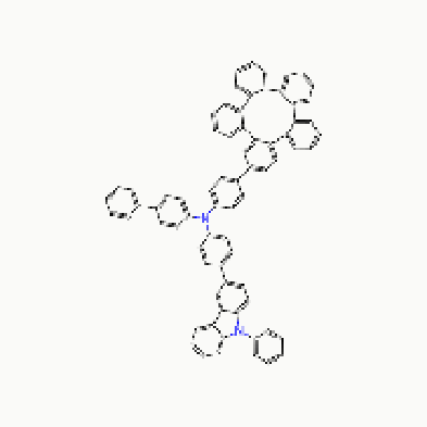 c1ccc(-c2ccc(N(c3ccc(-c4ccc5c6ccccc6c6ccccc6c6ccccc6c6ccccc6c5c4)cc3)c3ccc(-c4ccc5c(c4)c4ccccc4n5-c4ccccc4)cc3)cc2)cc1